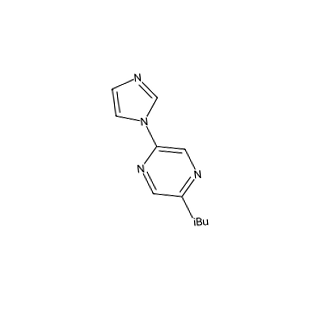 CCC(C)c1cnc(-n2ccnc2)cn1